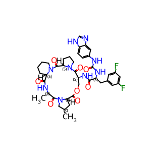 C[C@@H]1C[C@H]2C(=O)OC[C@H](NC(=O)[C@H](Cc3cc(F)cc(F)c3)NC(=O)Nc3ccc4[nH]cnc4c3)C(=O)N3CCC[C@H]3C(=O)N3CCCC[C@H]3C(=O)N[C@@H](C)C(=O)N2C1